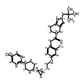 CC(C)(O)Cn1cc2c(n1)CCN(C(=O)Cc1ccc(OCC[C@@H]3C[C@@H]3C3CCN(c4ncc(Cl)cn4)CC3)cc1F)C2